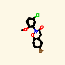 COc1ccc(Cl)cc1N1Oc2ccc(Br)cc2CC1=O